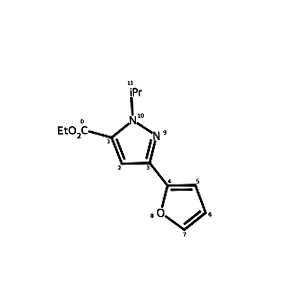 CCOC(=O)c1cc(-c2ccco2)nn1C(C)C